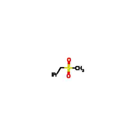 CC(C)CS(C)(=O)=O